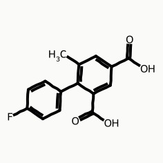 Cc1cc(C(=O)O)cc(C(=O)O)c1-c1ccc(F)cc1